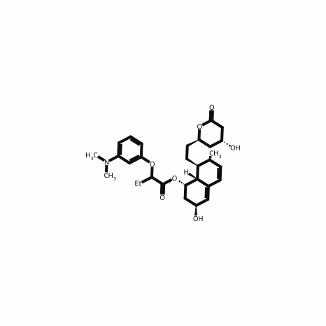 CCC(Oc1cccc(N(C)C)c1)C(=O)O[C@H]1C[C@H](O)C=C2C=C[C@H](C)[C@H](CC[C@@H]3C[C@@H](O)CC(=O)O3)[C@H]21